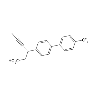 CC#C[C@@H](CC(=O)O)c1ccc(-c2ccc(C(F)(F)F)cc2)cc1